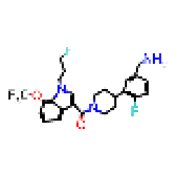 NCc1ccc(F)c(C2CCN(C(=O)c3cn(CCCF)c4c(OC(F)(F)F)cccc34)CC2)c1